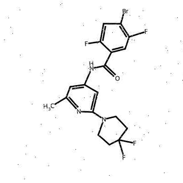 Cc1cc(NC(=O)c2cc(F)c(Br)cc2F)cc(N2CCC(F)(F)CC2)n1